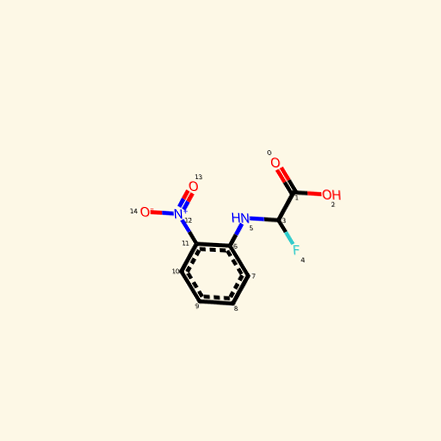 O=C(O)C(F)Nc1ccccc1[N+](=O)[O-]